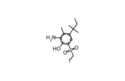 CCC(C)(C)c1cc(S(=O)(=O)CI)c(O)c(N)c1C